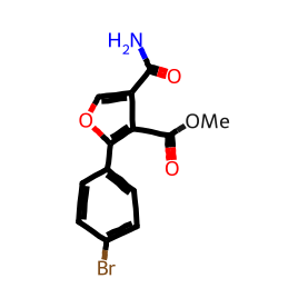 COC(=O)c1c(C(N)=O)coc1-c1ccc(Br)cc1